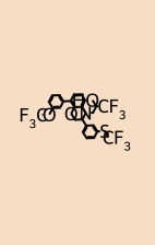 OC(CN1c2cccc(-c3cccc(OC(F)(F)F)c3)c2OCC1c1cccc(SC(F)(F)F)c1)C(F)(F)F